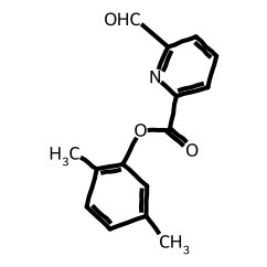 Cc1ccc(C)c(OC(=O)c2cccc(C=O)n2)c1